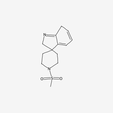 CS(=O)(=O)N1CCC2(CC1)CN=C1CC=CC=C12